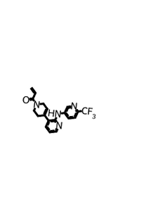 C=CC(=O)N1CC=C(c2cccnc2Nc2ccc(C(F)(F)F)nc2)CC1